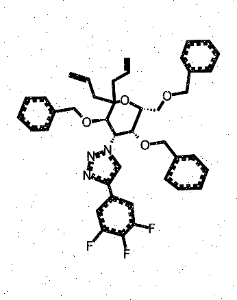 C=CCC1(CC=C)O[C@H](COCc2ccccc2)[C@H](OCc2ccccc2)[C@H](n2cc(-c3cc(F)c(F)c(F)c3)nn2)[C@H]1OCc1ccccc1